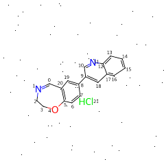 C1=NCCOc2ccc(-c3cnc4ccccc4c3)cc21.Cl